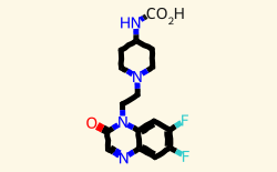 O=C(O)NC1CCN(CCn2c(=O)cnc3cc(F)c(F)cc32)CC1